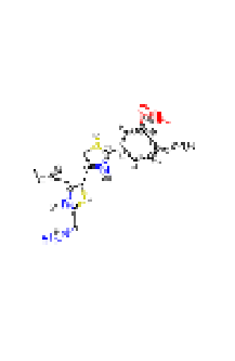 Cc1nc(CN)sc1-c1csc(-c2ccc(C(=O)O)c(O)c2)n1